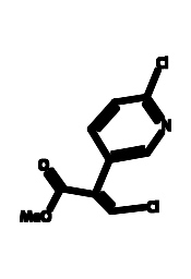 COC(=O)/C(=C/Cl)c1ccc(Cl)nc1